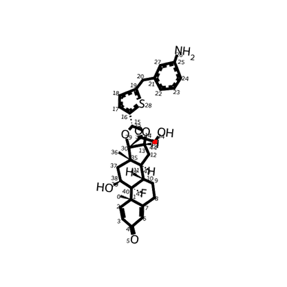 C[C@]12C=CC(=O)C=C1CC[C@H]1[C@@H]3C[C@H]4O[C@@H](c5ccc(Cc6cccc(N)c6)s5)O[C@@]4(C(=O)CO)[C@@]3(C)C[C@H](O)[C@@]12F